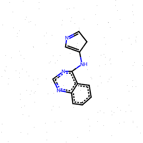 C1=NC=C(Nc2ncnc3ccccc23)C1